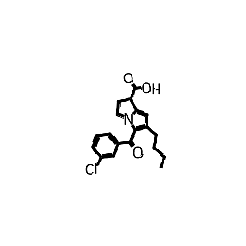 CCCCc1cc2n(c1C(=O)c1cccc(Cl)c1)CCC2C(=O)O